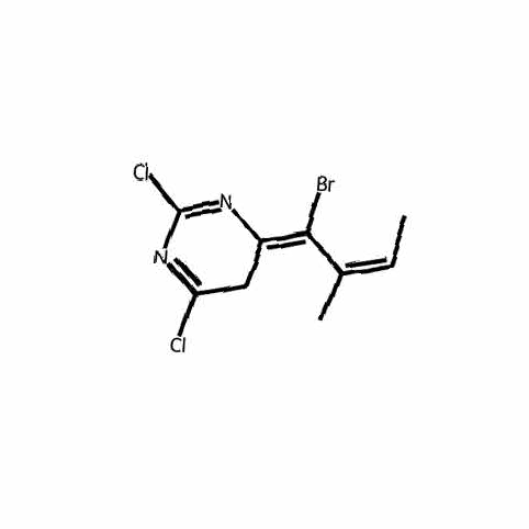 C/C=C(C)\C(Br)=C1/CC(Cl)=NC(Cl)=N1